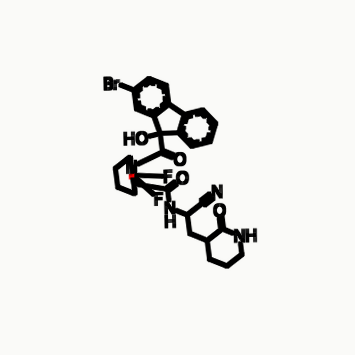 N#CC(CC1CCCNC1=O)NC(=O)C1C2CCC(CC2(F)F)N1C(=O)C1(O)c2ccccc2-c2ccc(Br)cc21